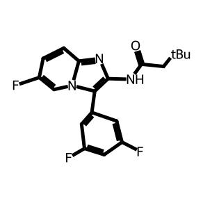 CC(C)(C)CC(=O)Nc1nc2ccc(F)cn2c1-c1cc(F)cc(F)c1